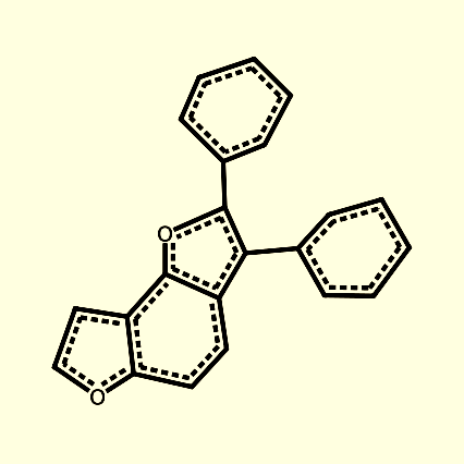 c1ccc(-c2oc3c(ccc4occc43)c2-c2ccccc2)cc1